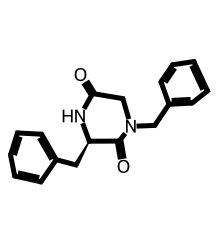 O=C1CN(Cc2ccccc2)C(=O)[C@@H](Cc2ccccc2)N1